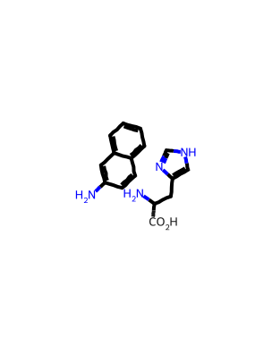 NC(Cc1c[nH]cn1)C(=O)O.Nc1ccc2ccccc2c1